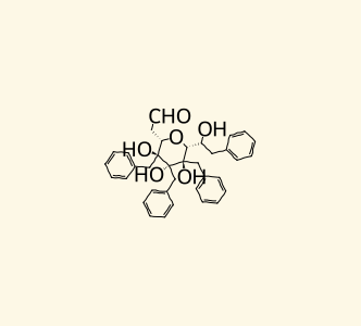 O=CC[C@@H]1O[C@H](C(O)Cc2ccccc2)[C@](O)(Cc2ccccc2)[C@@](O)(Cc2ccccc2)[C@]1(O)Cc1ccccc1